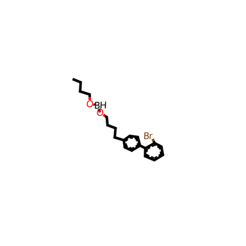 CCCCOBOCCCCc1ccc(-c2ccccc2Br)cc1